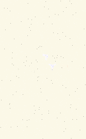 CC(C)(C)c1ccnc(N(C(=O)O)c2ccccc2)c1